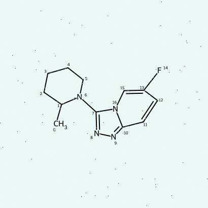 CC1CCCCN1c1nnc2ccc(F)cn12